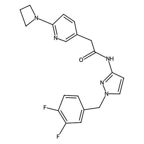 O=C(Cc1ccc(N2CCC2)nc1)Nc1ccn(Cc2ccc(F)c(F)c2)n1